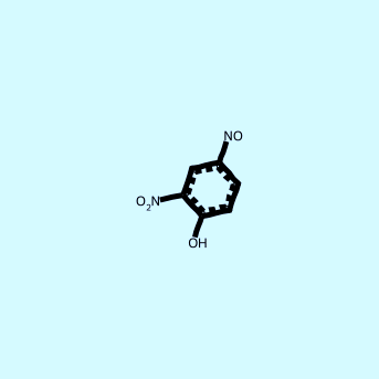 O=Nc1ccc(O)c([N+](=O)[O-])c1